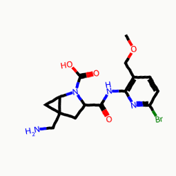 COCc1ccc(Br)nc1NC(=O)C1CC2(CN)CC2N1C(=O)O